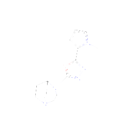 Cn1cccc1-c1nnc(N2CCN3CCC2CC3)o1